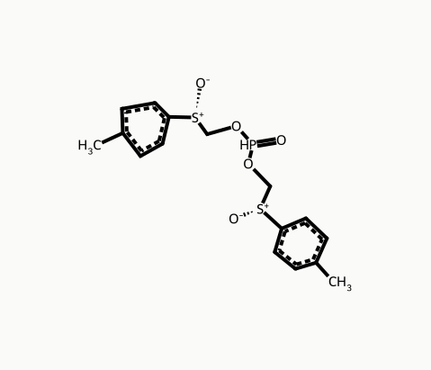 Cc1ccc([S@+]([O-])CO[PH](=O)OC[S@@+]([O-])c2ccc(C)cc2)cc1